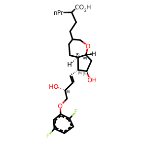 CCCC(CCC1CC[C@@H]2[C@@H](C=C[C@@H](O)COc3cc(F)ccc3F)[C@H](O)C[C@H]2OC1)C(=O)O